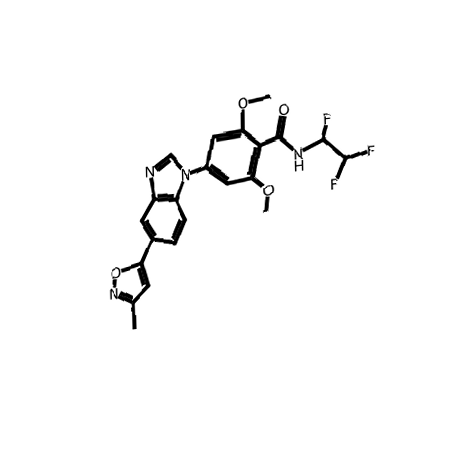 COc1cc(-n2cnc3cc(-c4cc(C)no4)ccc32)cc(OC)c1C(=O)NC(F)C(F)F